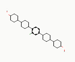 CCCCOC1CCC(C2CCC(c3ccc(C4CCC(C5CCC(OCC)CC5)CC4)c(F)c3)CC2)CC1